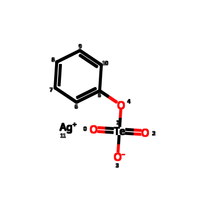 O=[Te](=O)([O-])Oc1ccccc1.[Ag+]